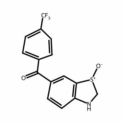 O=C(c1ccc(C(F)(F)F)cc1)c1ccc2c(c1)[S+]([O-])CN2